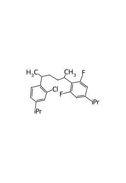 CC(C)c1cc(F)c(C(C)CCC(C)c2ccc(C(C)C)cc2Cl)c(F)c1